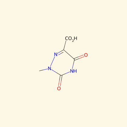 Cn1nc(C(=O)O)c(=O)[nH]c1=O